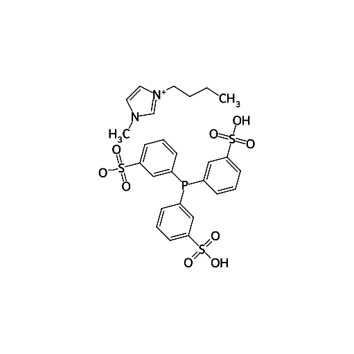 CCCC[n+]1ccn(C)c1.O=S(=O)([O-])c1cccc(P(c2cccc(S(=O)(=O)O)c2)c2cccc(S(=O)(=O)O)c2)c1